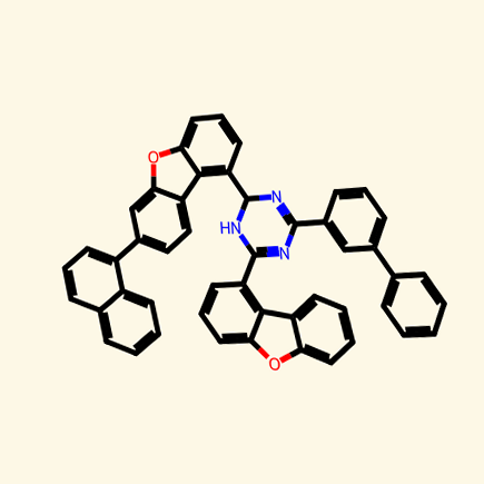 c1ccc(-c2cccc(C3=NC(c4cccc5oc6cc(-c7cccc8ccccc78)ccc6c45)NC(c4cccc5oc6ccccc6c45)=N3)c2)cc1